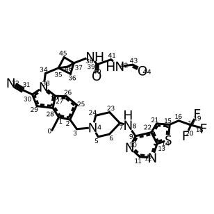 Cc1c(CN2CCC(Nc3ncnc4sc(CC(F)(F)F)cc34)CC2)ccc2c1cc(C#N)n2CC12CC(NC(=O)CNC=O)(C1)C2